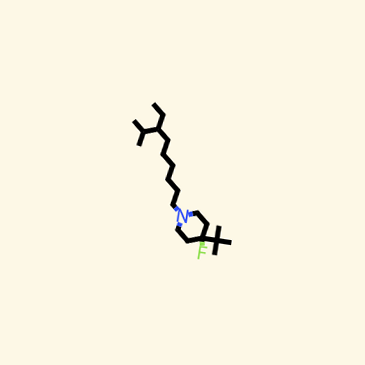 CCC(CCCCCCN1CCC(F)(C(C)(C)C)CC1)C(C)C